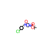 CC(C)(C)OC(=O)N1CCN(Cc2ccc(Cl)cc2)C(=O)C1